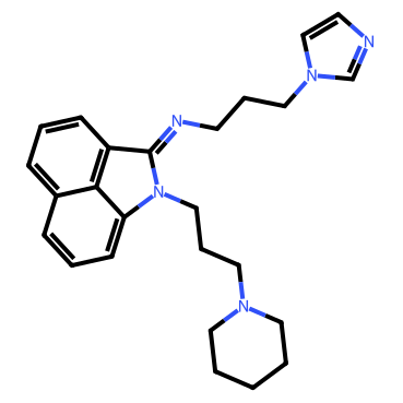 c1cc2c3c(cccc3c1)N(CCCN1CCCCC1)C2=NCCCn1ccnc1